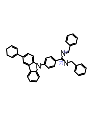 C1=CC(c2ccc3c(c2)c2ccccc2n3-c2ccc(C(=N/Cc3ccccc3)/N=C/c3ccccc3)cc2)=CCC1